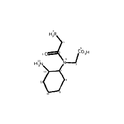 BCC(=O)N(CC(=O)O)C1CCCCC1N